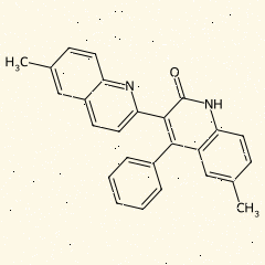 Cc1ccc2nc(-c3c(-c4ccccc4)c4cc(C)ccc4[nH]c3=O)ccc2c1